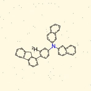 [2H]c1cc(N(c2ccc3ccccc3c2)c2ccc3ccccc3c2)ccc1-c1cccc2c1Cc1ccccc1-2